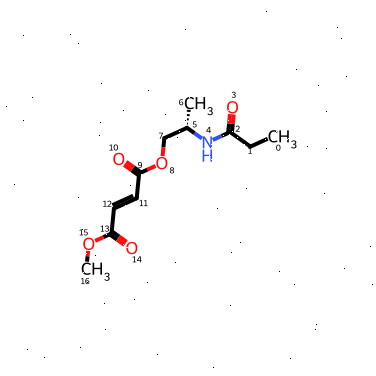 CCC(=O)N[C@@H](C)COC(=O)/C=C/C(=O)OC